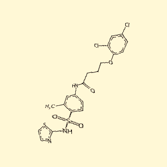 Cc1cc(NC(=O)CCCOc2ccc(Cl)cc2Cl)ccc1S(=O)(=O)Nc1nccs1